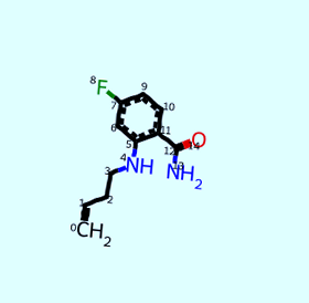 C=CCCNc1cc(F)ccc1C(N)=O